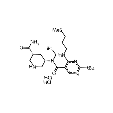 CSCCCNc1nc(C(C)(C)C)ncc1C(=O)N(CC(C)C)[C@@H]1CNC[C@H](C(N)=O)C1.Cl.Cl